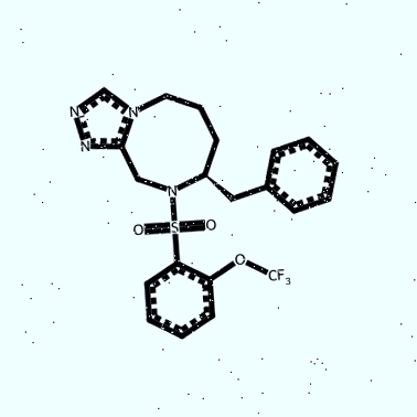 O=S(=O)(c1ccccc1OC(F)(F)F)N1Cc2nncn2CCC[C@H]1Cc1ccccc1